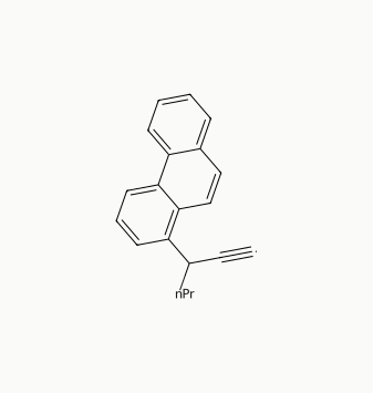 [C]#CC(CCC)c1cccc2c1ccc1ccccc12